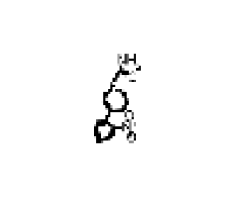 NC(=O)CN1CC=C(c2ccccc2[N+](=O)[O-])CCC1